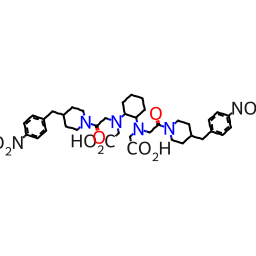 O=C(O)CN(CC(=O)N1CCC(Cc2ccc([N+](=O)[O-])cc2)CC1)C1CCCCC1N(CC(=O)O)CC(=O)N1CCC(Cc2ccc([N+](=O)[O-])cc2)CC1